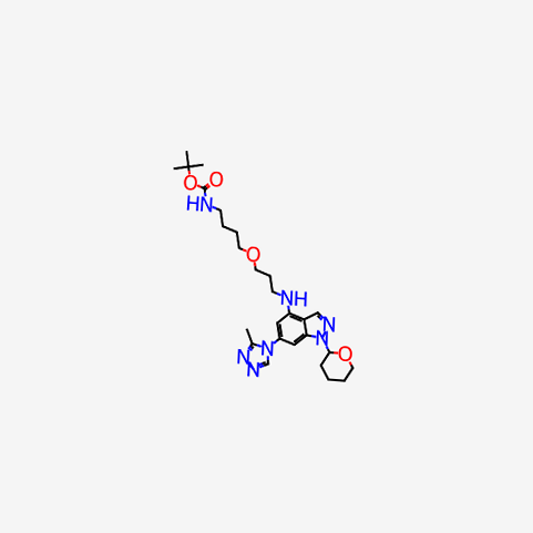 Cc1nncn1-c1cc(NCCCOCCCCNC(=O)OC(C)(C)C)c2cnn(C3CCCCO3)c2c1